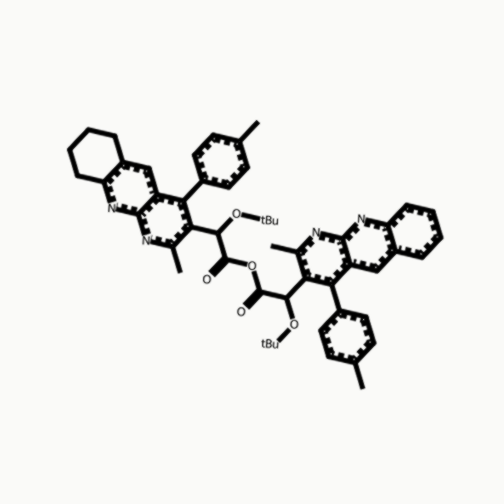 Cc1ccc(-c2c(C(OC(C)(C)C)C(=O)OC(=O)C(OC(C)(C)C)c3c(C)nc4nc5ccccc5cc4c3-c3ccc(C)cc3)c(C)nc3nc4c(cc23)CCCC4)cc1